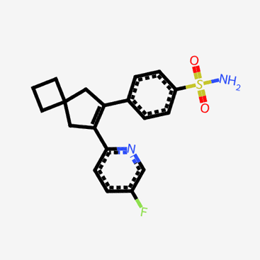 NS(=O)(=O)c1ccc(C2=C(c3ccc(F)cn3)CC3(CCC3)C2)cc1